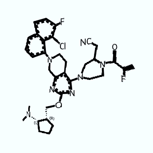 C=C(F)C(=O)N1CCN(c2nc(OC[C@@H]3CCC[C@@H]3N(C)C)nc3c2CCN(c2cccc4ccc(F)c(Cl)c24)C3)CC1CC#N